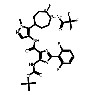 Cn1ncc(NC(=O)c2nc(-c3c(F)cccc3F)sc2NC(=O)OC(C)(C)C)c1C1CC[C@@H](F)[C@H](NC(=O)C(F)(F)F)CC1